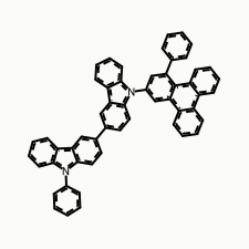 c1ccc(-c2cc(-n3c4ccccc4c4cc(-c5ccc6c(c5)c5ccccc5n6-c5ccccc5)ccc43)cc3c4ccccc4c4ccccc4c23)cc1